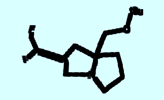 CC(C)(C)OCC12CCCN1CC(=C(F)F)C2